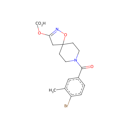 Cc1cc(C(=O)N2CCC3(CC2)CC(OC(=O)O)=NO3)ccc1Br